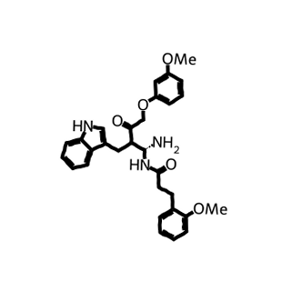 COc1cccc(OCC(=O)C(Cc2c[nH]c3ccccc23)[C@H](N)NC(=O)CCc2ccccc2OC)c1